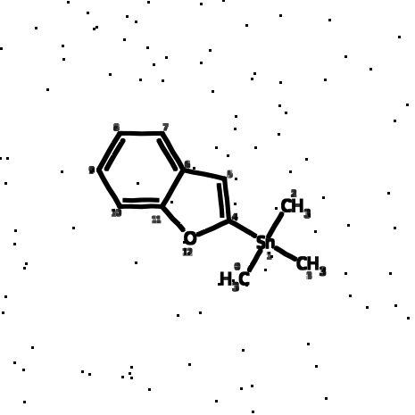 [CH3][Sn]([CH3])([CH3])[c]1cc2ccccc2o1